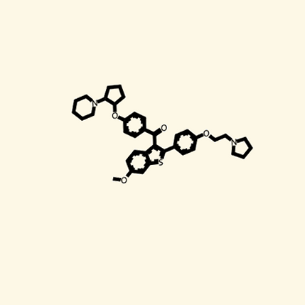 COc1ccc2c(C(=O)c3ccc(OC4CCCC4N4CCCCC4)cc3)c(-c3ccc(OCCN4CCCC4)cc3)sc2c1